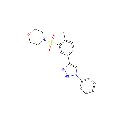 Cc1ccc(C2=CN(c3ccccc3)NN2)cc1S(=O)(=O)N1CCOCC1